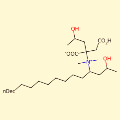 CCCCCCCCCCCCCCCCCCC(CC(C)O)[N+](C)(C)C(CC(=O)O)(CC(C)O)C(=O)[O-]